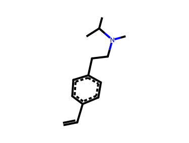 C=Cc1ccc(CCN(C)C(C)C)cc1